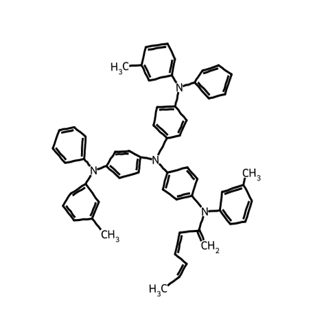 C=C(/C=C\C=C/C)N(c1ccc(N(c2ccc(N(c3ccccc3)c3cccc(C)c3)cc2)c2ccc(N(c3ccccc3)c3cccc(C)c3)cc2)cc1)c1cccc(C)c1